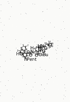 C=C(C)[C@@H]1CCC(C)=C[C@H]1c1c(O)cc(CCCCC)cc1OC(=O)NCC1=C(C(=O)OCC(C)C)N2C(=O)[C@@H](NC(=O)Cc3cccs3)[C@H]2CC1